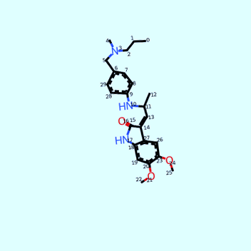 CCCN(C)Cc1ccc(NC(C)C=C2C(=O)Nc3cc(OC)c(OC)cc32)cc1